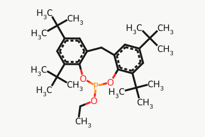 CCOP1Oc2c(cc(C(C)(C)C)cc2C(C)(C)C)Cc2cc(C(C)(C)C)cc(C(C)(C)C)c2O1